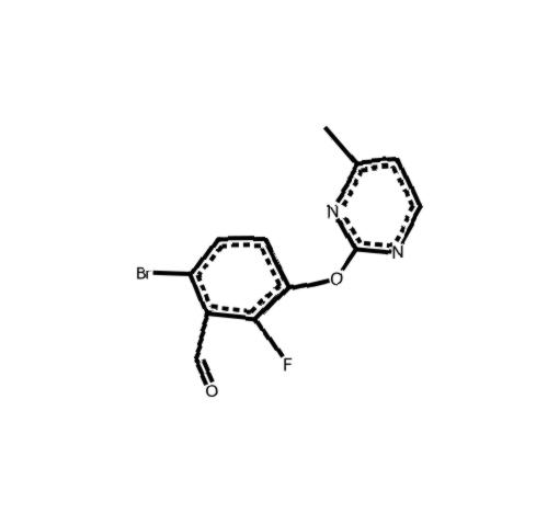 Cc1ccnc(Oc2ccc(Br)c(C=O)c2F)n1